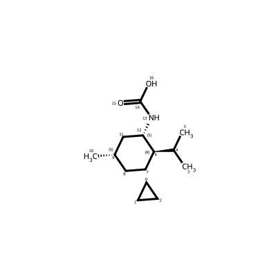 C1CC1.CC(C)[C@H]1CC[C@H](C)C[C@@H]1NC(=O)O